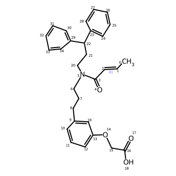 C/C=C/C(=O)N(CCCc1cccc(OCC(=O)O)c1)CCC(c1ccccc1)c1ccccc1